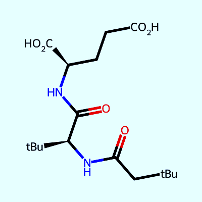 CC(C)(C)CC(=O)N[C@H](C(=O)N[C@H](CCC(=O)O)C(=O)O)C(C)(C)C